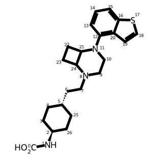 O=C(O)N[C@H]1CC[C@H](CCN2CCN(c3cccc4sccc34)C3CCC32)CC1